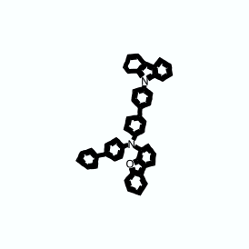 C1=Cc2c(n(-c3ccc(-c4ccc(N(c5ccc(-c6ccccc6)cc5)c5cccc6c5oc5ccccc56)cc4)cc3)c3ccccc23)CC1